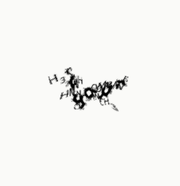 CO[C@]1(C(=O)N[C@@H](C)c2ccc(-n3cc(F)cn3)nc2)CC[C@H](c2nc(Nc3cc(C)[nH]n3)cc3c2CCO3)CC1